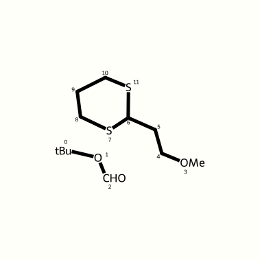 CC(C)(C)OC=O.COCCC1SCCCS1